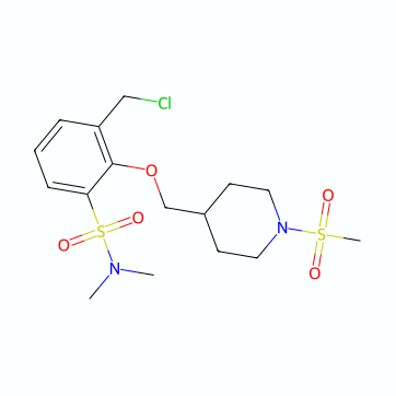 CN(C)S(=O)(=O)c1cccc(CCl)c1OCC1CCN(S(C)(=O)=O)CC1